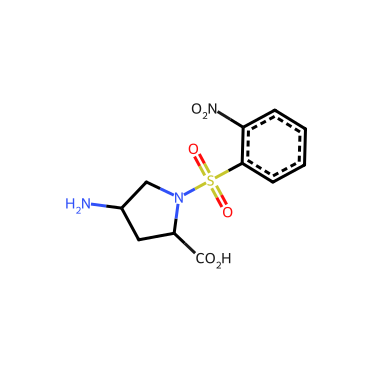 NC1CC(C(=O)O)N(S(=O)(=O)c2ccccc2[N+](=O)[O-])C1